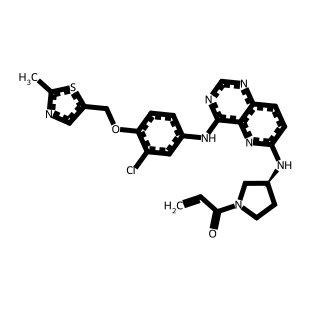 C=CC(=O)N1CC[C@H](Nc2ccc3ncnc(Nc4ccc(OCc5cnc(C)s5)c(Cl)c4)c3n2)C1